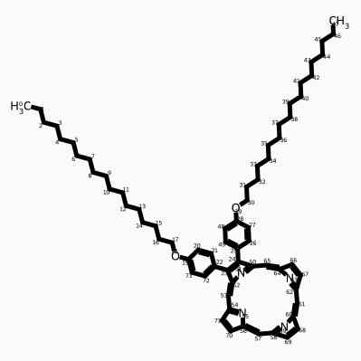 CCCCCCCCCCCCCCCCCCOc1ccc(C2=C(c3ccc(OCCCCCCCCCCCCCCCCCC)cc3)C3=NC2=CC2=NC(=CC4=NC(=CC5=NC(=C3)C=C5)C=C4)C=C2)cc1